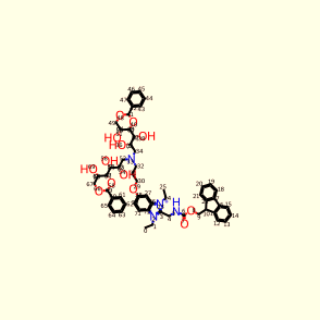 CCn1c(CNC(=O)OCC2c3ccccc3-c3ccccc32)[n+](CC)c2cc(OCCCN(C[C@H](O)[C@@H](O)[C@@H]3OC(c4ccccc4)OC[C@H]3O)C[C@H](O)[C@@H](O)[C@@H]3OC(c4ccccc4)OC[C@H]3O)ccc21